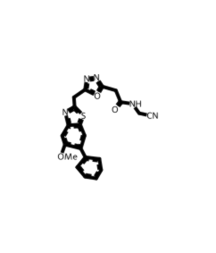 COc1cc2nc(Cc3nnc(CC(=O)NCC#N)o3)sc2cc1-c1ccccc1